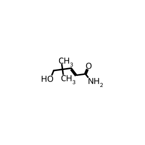 CC(C)(/C=C/C(N)=O)CO